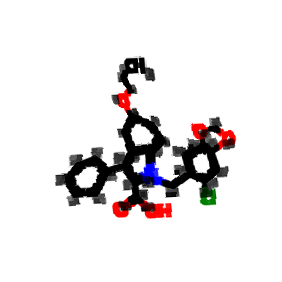 CCCOc1ccc2c(c1)c(-c1ccccc1)c(C(=O)O)n2Cc1cc2c(cc1Cl)OCO2